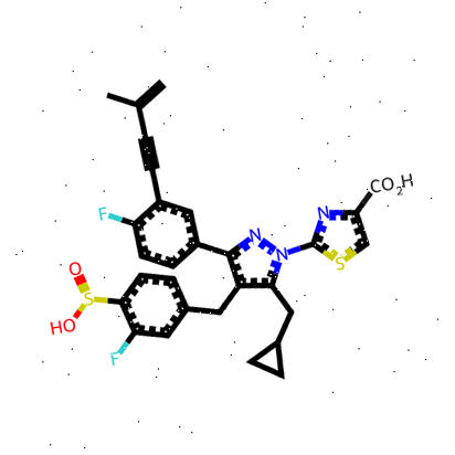 C=C(C)C#Cc1cc(-c2nn(-c3nc(C(=O)O)cs3)c(CC3CC3)c2Cc2ccc(S(=O)O)c(F)c2)ccc1F